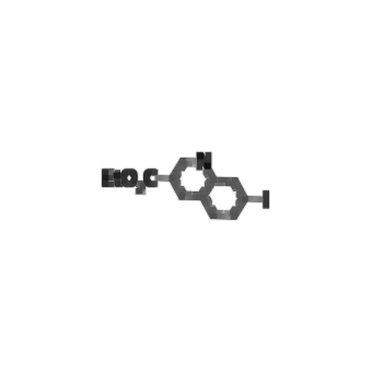 CCOC(=O)c1cnc2cc(I)ccc2c1